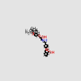 CC(C)(C)[Si](C)(C)Oc1ccc(OC[C@@H](O)CNCCc2ccc(OCc3ccccc3C(=O)O)cc2)cc1